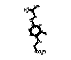 CCOC(=O)COc1ccc(SCC(N)C(C)C)cc1C